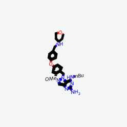 CCCCNc1nc(N)nc2cnn(Cc3ccc(Oc4ccc(CNC5CCOCC5)cc4)cc3OC)c12